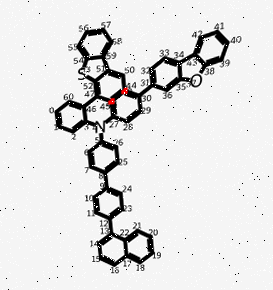 c1ccc(N(c2ccc(-c3ccc(-c4cccc5ccccc45)cc3)cc2)c2ccc(-c3ccc4c(c3)oc3ccccc34)cc2)c(-c2cccc3c2sc2ccccc23)c1